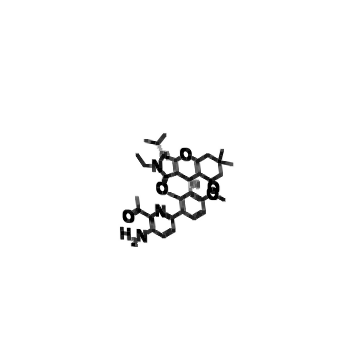 CCN1C(=O)C2=C(OC3=C(C(=O)CC(C)(C)C3)[C@@H]2c2c(OC)ccc(-c3ccc(N)c(C(C)=O)n3)c2C)[C@H]1C(C)C